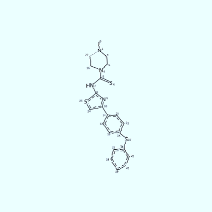 CN1CCN(C(=S)Nc2nc(-c3ccc(Sc4ccccc4)cc3)cs2)CC1